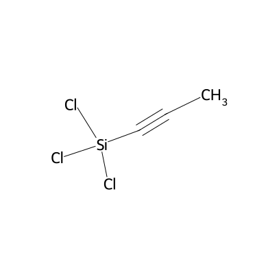 CC#C[Si](Cl)(Cl)Cl